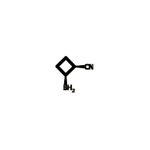 B[C@H]1CC[C@H]1C#N